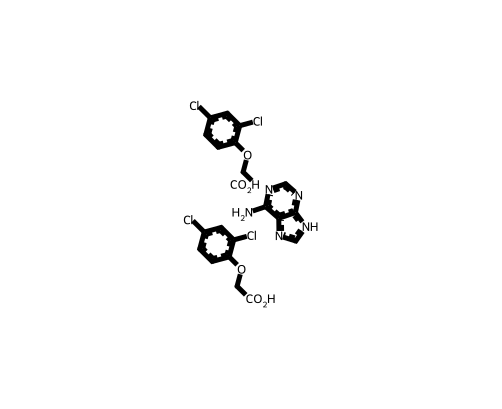 Nc1ncnc2[nH]cnc12.O=C(O)COc1ccc(Cl)cc1Cl.O=C(O)COc1ccc(Cl)cc1Cl